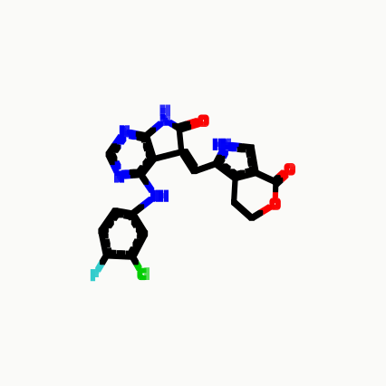 O=C1Nc2ncnc(Nc3ccc(F)c(Cl)c3)c2C1=Cc1[nH]cc2c1CCOC2=O